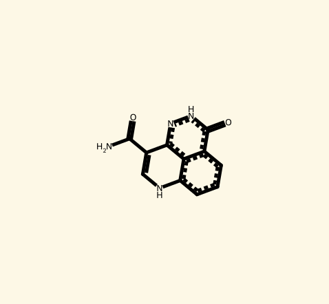 NC(=O)C1=CNc2cccc3c(=O)[nH]nc1c23